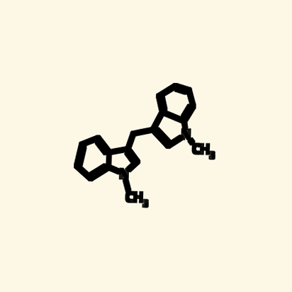 Cn1cc(Cc2cn(C)c3ccccc23)c2ccccc21